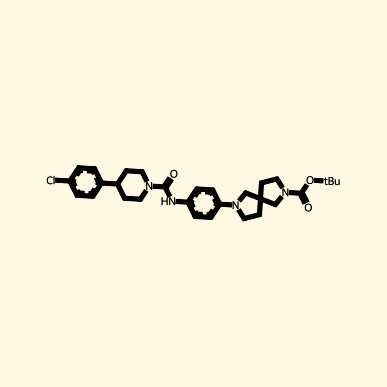 CC(C)(C)OC(=O)N1CCC2(CCN(c3ccc(NC(=O)N4CCC(c5ccc(Cl)cc5)CC4)cc3)C2)C1